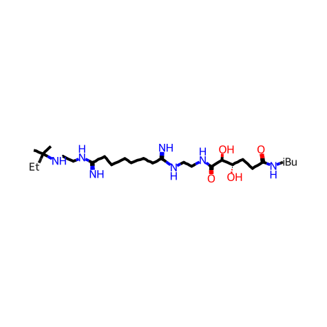 CCC(C)NC(=O)CC[C@H](O)C(O)C(=O)NCCNC(=N)CCCCCCC(=N)NCCNC(C)(C)CC